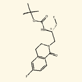 CC(C)(C)OC(=O)N[C@H](CF)CN1CCc2cc(F)ccc2C1=O